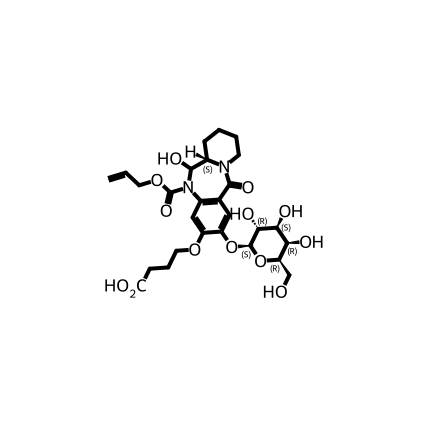 C=CCOC(=O)N1c2cc(OCCCC(=O)O)c(O[C@@H]3O[C@H](CO)[C@H](O)[C@H](O)[C@H]3O)cc2C(=O)N2CCCC[C@H]2C1O